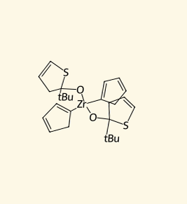 CC(C)(C)C1([O][Zr]([O]C2(C(C)(C)C)CC=CS2)([C]2=CC=CC2)[C]2=CC=CC2)CC=CS1